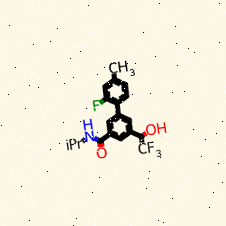 Cc1ccc(-c2cc(C(=O)NC(C)C)cc(C(O)C(F)(F)F)c2)c(F)c1